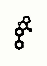 O=C1c2cc(-c3ccccc3)ccc2OC2CCCN12